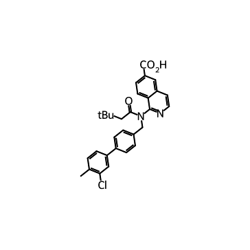 Cc1ccc(-c2ccc(CN(C(=O)CC(C)(C)C)c3nccc4cc(C(=O)O)ccc34)cc2)cc1Cl